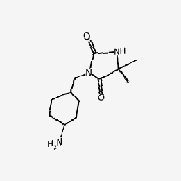 CC1(C)NC(=O)N(CC2CCC(N)CC2)C1=O